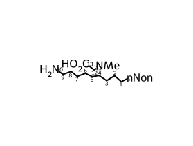 CCCCCCCCCCCCCCCCCCN.CNCC(=O)O